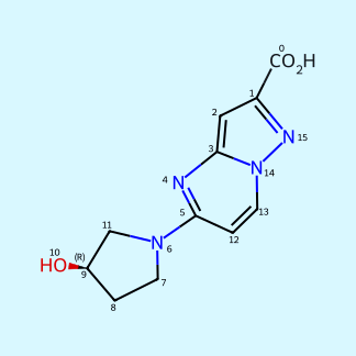 O=C(O)c1cc2nc(N3CC[C@@H](O)C3)ccn2n1